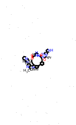 CCn1c(C2=C([C@H](C)OC)N=CC(N3CCN4CCCC[C@@H]4C3)C2)c2c3cc(ccc31)-c1cccc(c1)C[C@H](NC(=O)[C@H](C(C)C)N1CC[C@]3(CCNC3)C1)C(=O)N1CCC[C@H](N1)C(=O)OCC(C)(C)C2